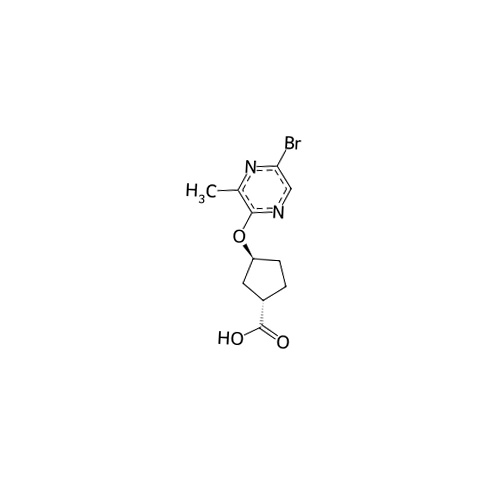 Cc1nc(Br)cnc1O[C@H]1CC[C@H](C(=O)O)C1